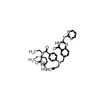 C#CCN(Cc1ccc2nc(Sc3ncccn3)[nH]c(=O)c2c1)c1ccc(C(=O)N(CC)[C@@](CC)(CCC(=O)O)C(=O)O)cc1